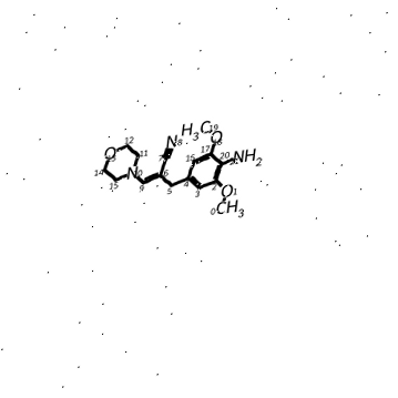 COc1cc(CC(C#N)=CN2CCOCC2)cc(OC)c1N